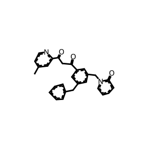 Cc1ccnc(C(=O)CC(=O)c2cc(Cc3ccccc3)cc(Cn3ccccc3=O)c2)c1